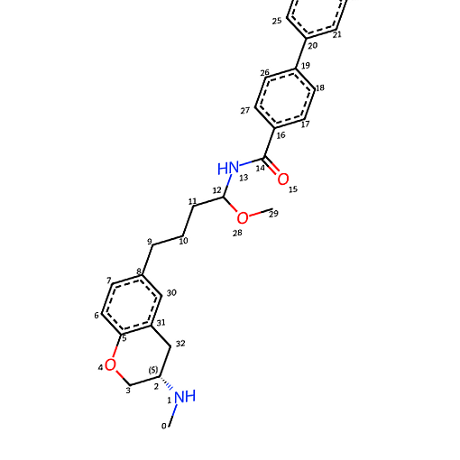 CN[C@@H]1COc2ccc(CCCC(NC(=O)c3ccc(-c4ccccc4)cc3)OC)cc2C1